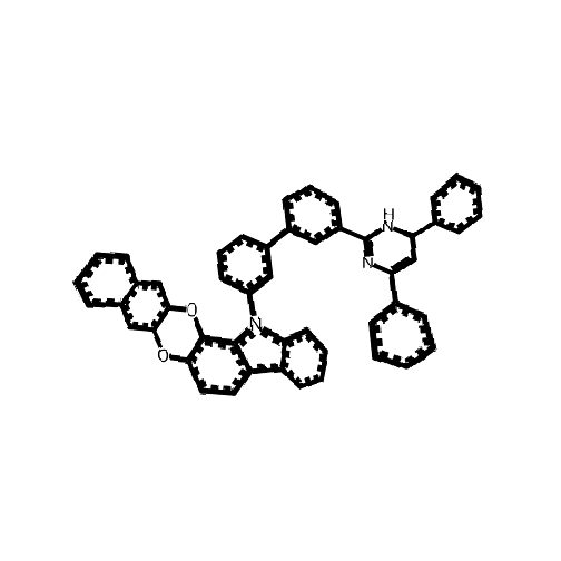 C1=C(c2ccccc2)N=C(c2cccc(-c3cccc(-n4c5ccccc5c5ccc6c(c54)Oc4cc5ccccc5cc4O6)c3)c2)NC1c1ccccc1